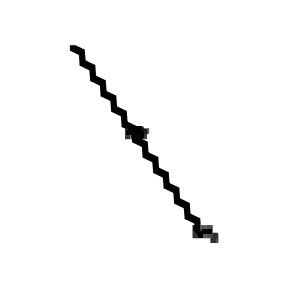 Br.CCCCCCCCCCCCCCCCCCCCCCCCN